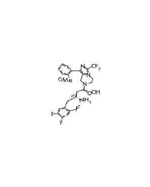 COc1ccccc1-c1nc(C(F)(F)F)n2c1CN(C(=O)C[C@H](N)Cc1cc(F)c(F)cc1F)CC2.Cl